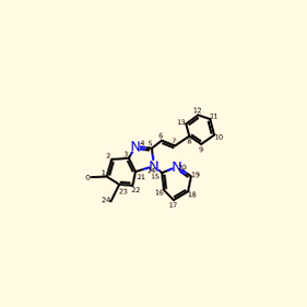 Cc1cc2nc(C=Cc3ccccc3)n(-c3ccccn3)c2cc1C